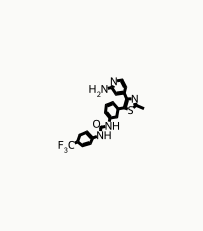 Cc1nc(-c2ccnc(N)c2)c(C2C=CC=C(NC(=O)NC3=CCC(C(F)(F)F)C=C3)C2)s1